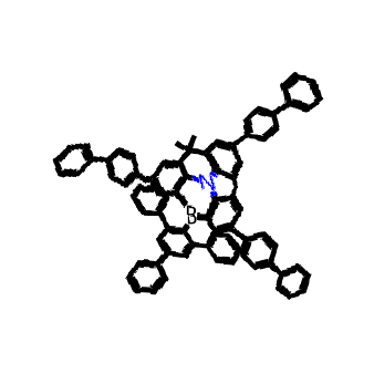 CC1(C)c2cc(-c3ccc(-c4ccccc4)cc3)cc3c2-n2c4c(cc(-c5ccc(-c6ccccc6)cc5)cc4c4cc(-c5ccc(-c6ccccc6)cc5)cc1c42)B3c1c(-c2ccccc2)cc(-c2ccccc2)cc1-c1ccccc1